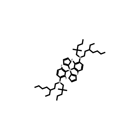 CCCCC(CC)CCN(CC(C)(C)CCC)c1ccc(F)[c]([Ti]([C]2=CC=CC2)([C]2=CC=CC2)[c]2c(F)ccc(N(CCC(CC)CCCC)CC(C)(C)CCC)c2F)c1F